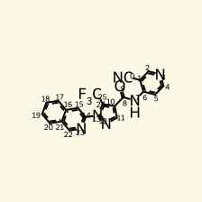 N#Cc1cnccc1NC(=O)c1cnn(-c2cc3ccccc3cn2)c1C(F)(F)F